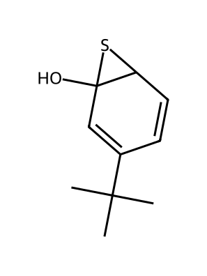 CC(C)(C)C1=CC2(O)SC2C=C1